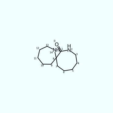 O=C1NCCCCCC12CCCCCN2